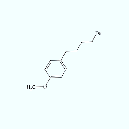 COc1ccc(CCCC[Te])cc1